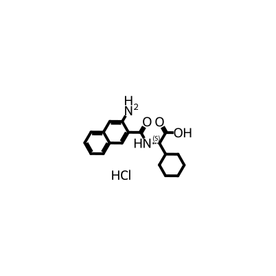 Cl.Nc1cc2ccccc2cc1C(=O)N[C@H](C(=O)O)C1CCCCC1